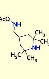 CC(=O)ONCC1CC(C)(C)NC(C)(C)C1